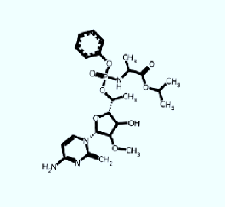 C=C1N=C(N)C=CN1[C@@H]1O[C@H](C(C)OP(=O)(NC(C)C(=O)OC(C)C)Oc2ccccc2)C(O)C1OC